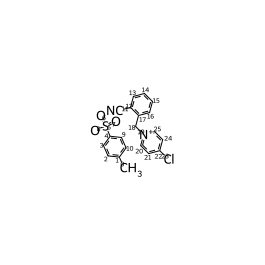 Cc1ccc(S(=O)(=O)[O-])cc1.N#Cc1ccccc1C[n+]1ccc(Cl)cc1